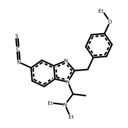 CCOc1ccc(Cc2nc3cc(N=C=S)ccc3n2C(C)N(CC)CC)cc1